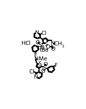 CN(Cc1cc(-c2cccnc2Cl)c(S(=O)(=O)c2cccc(F)c2)s1)C(=O)OC(C)(C)C.CNCc1cc(-c2cccnc2Cl)c(S(=O)(=O)c2cccc(F)c2)s1.Cl